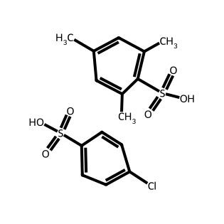 Cc1cc(C)c(S(=O)(=O)O)c(C)c1.O=S(=O)(O)c1ccc(Cl)cc1